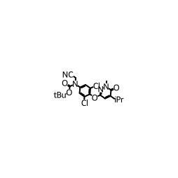 CC(C)c1cc(Oc2c(Cl)cc(N(CC#N)C(=O)OC(C)(C)C)cc2Cl)nn(C)c1=O